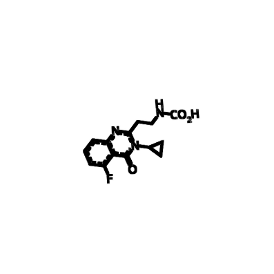 O=C(O)NCCc1nc2cccc(F)c2c(=O)n1C1CC1